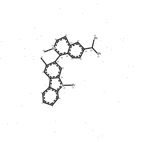 Cc1cc2c3ccccc3n(C(C)C)c2cc1-c1c2ccc(C(C(C)C)C(C)C)cc2cc[n+]1C